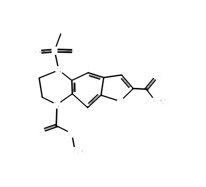 COC(=O)c1cc2cc3c(cc2s1)N(C(=O)OC(C)(C)C)CCN3S(C)(=O)=O